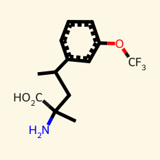 CC(CC(C)(N)C(=O)O)c1cccc(OC(F)(F)F)c1